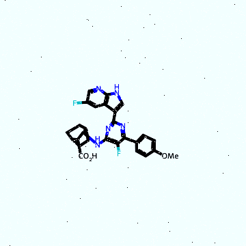 COc1ccc(-c2nc(-c3c[nH]c4ncc(F)cc34)nc(NC3C4CCC(CC4)C3C(=O)O)c2F)cc1